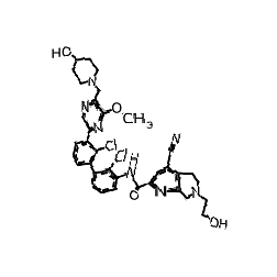 COc1nc(-c2cccc(-c3cccc(NC(=O)c4cc(C#N)c5c(n4)CN(CCO)CC5)c3Cl)c2Cl)cnc1CN1CCC(O)CC1